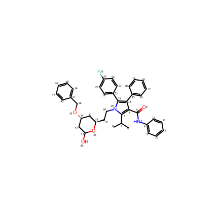 CC(C)c1c(C(=O)Nc2ccccc2)c(-c2ccccc2)c(-c2ccc(F)cc2)n1CC[C@@H]1C[C@@H](OCc2ccccc2)CC(O)O1